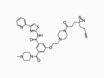 C#CCCC1(CCC(=O)N2CCN(CCOc3cc(C(=O)Nc4nc(-c5ccccn5)cs4)cc(C(=O)N4CCN(C)CC4)c3)CC2)N=N1